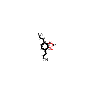 N#CCCc1ccc(CCC#N)c2c1OCO2